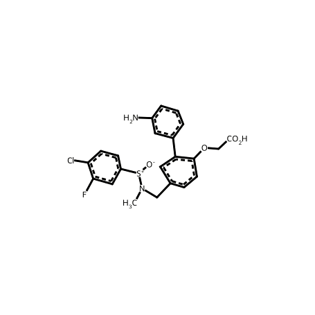 CN(Cc1ccc(OCC(=O)O)c(-c2cccc(N)c2)c1)[S+]([O-])c1ccc(Cl)c(F)c1